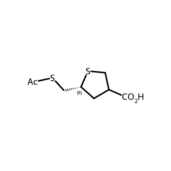 CC(=O)SC[C@H]1CC(C(=O)O)CS1